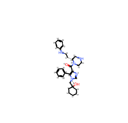 O=C(c1ncn(CC2(O)CCCCC2)c1-c1ccccc1)N1CCNC[C@H]1CCNc1ccccc1